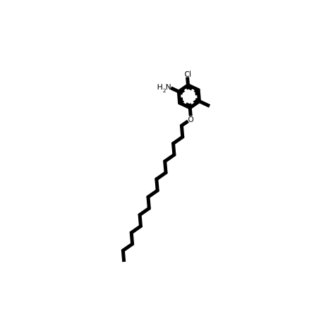 CCCCCCCCCCCCCCCCOc1cc(N)c(Cl)cc1C